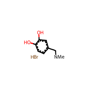 Br.CNCc1ccc(O)c(O)c1